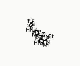 CCNc1ncnc2[nH]cc(C(=O)c3ccc(NC4CC(F)(F)C4)nc3F)c12